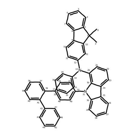 CC1(C)c2ccccc2-c2ccc(N(c3ccccc3)c3cccc4c5ccccc5n(-c5ccc(-c6ccccc6-c6ccccc6)cc5)c34)cc21